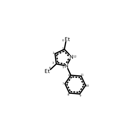 CCc1cc(CC)n(-c2ccccc2)n1